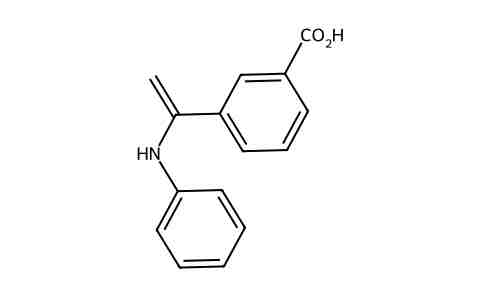 C=C(Nc1ccccc1)c1cccc(C(=O)O)c1